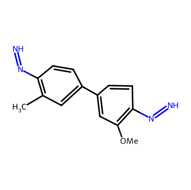 COc1cc(-c2ccc(N=N)c(C)c2)ccc1N=N